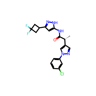 C[C@@H](C(=O)Nc1cc(C2CC(F)(F)C2)n[nH]1)c1cnn(-c2cccc(Cl)c2)c1